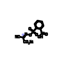 CCOC(=O)/C(C#N)=N\OS(=O)(=O)c1ccccc1[N+](=O)O